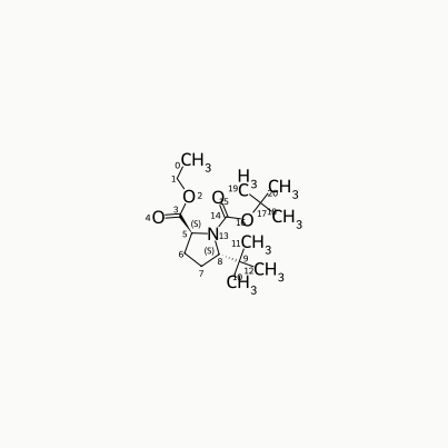 CCOC(=O)[C@@H]1CC[C@@H](C(C)(C)C)N1C(=O)OC(C)(C)C